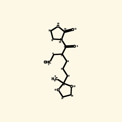 CC1(CCCC(CC=O)C(=O)N2CCOC2=O)OCCO1